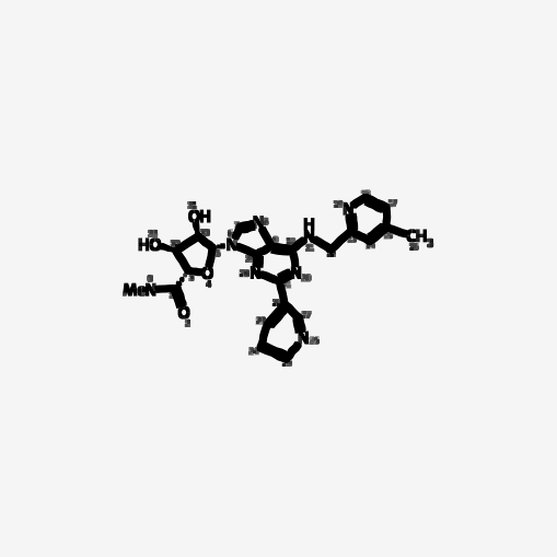 CNC(=O)[C@H]1O[C@@H](n2cnc3c(NCc4cc(C)ccn4)nc(-c4cccnc4)nc32)[C@H](O)[C@@H]1O